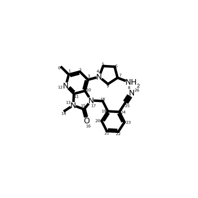 Cc1cc(N2CCC(N)C2)c2c(n1)n(C)c(=O)n2Cc1ccccc1C#N